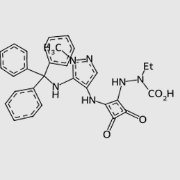 CCN(Nc1c(Nc2cnn(C)c2NC(c2ccccc2)(c2ccccc2)c2ccccc2)c(=O)c1=O)C(=O)O